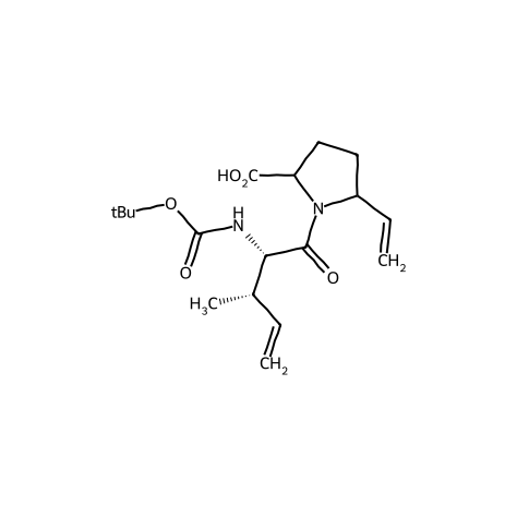 C=CC1CCC(C(=O)O)N1C(=O)[C@@H](NC(=O)OC(C)(C)C)[C@@H](C)C=C